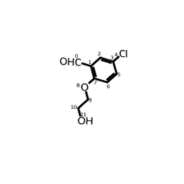 O=Cc1cc(Cl)ccc1OCCO